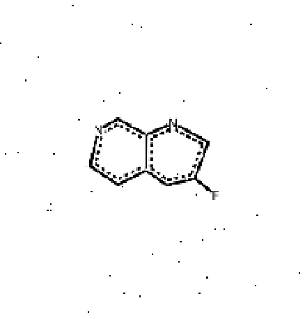 Fc1cnc2cn[c]cc2c1